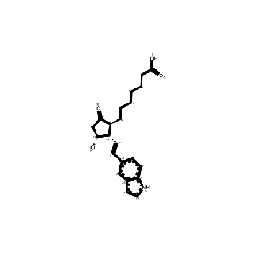 O=C(O)CCCCCC[C@@H]1C(=O)C[C@@H](O)[C@H]1C=Cc1ccc2[nH]ccc2c1